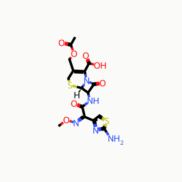 CO/N=C(\C(=O)NC1C(=O)N2C(C(=O)O)=C(COC(C)=O)CS[C@H]12)c1csc(N)n1